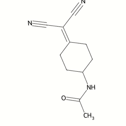 CC(=O)NC1CCC(=C(C#N)C#N)CC1